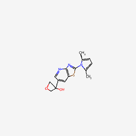 Cc1ccc(C)n1-c1nc2ncc(C3(O)COC3)cc2s1